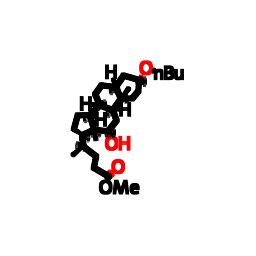 CCCCO[C@@H]1CC[C@@]2(C)[C@H](CC[C@@H]3[C@@H]2C[C@H](O)[C@]2(C)[C@@H]([C@H](C)CCC(=O)OC)CC[C@@H]32)C1